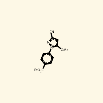 CCOC(=O)c1ccc(-n2nc(C#N)cc2OC)cc1